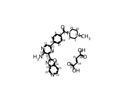 CN1CCN(C(=O)c2ccc(-c3cnc(N)c(-c4nc5cnccc5o4)n3)cc2)CC1.O=C(O)C=CC(=O)O